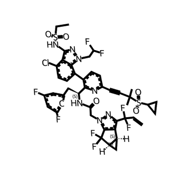 C=CC(F)(F)c1nn(CC(=O)N[C@@H](Cc2cc(F)cc(F)c2)c2nc(C#CC(C)(C)S(=O)(=O)C3CC3)ccc2-c2ccc(Cl)c3c(NS(=O)(=O)CC)nn(CC(F)F)c23)c2c1[C@H]1C[C@H]1C2(F)F